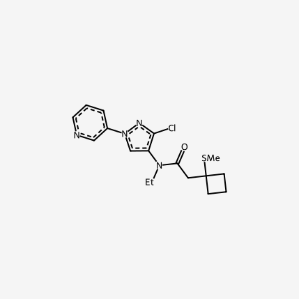 CCN(C(=O)CC1(SC)CCC1)c1cn(-c2cccnc2)nc1Cl